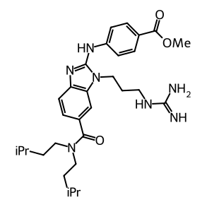 COC(=O)c1ccc(Nc2nc3ccc(C(=O)N(CCC(C)C)CCC(C)C)cc3n2CCCNC(=N)N)cc1